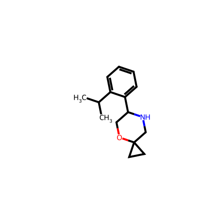 CC(C)c1ccccc1C1COC2(CC2)CN1